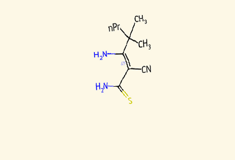 CCCC(C)(C)/C(N)=C(\C#N)C(N)=S